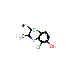 CC(CC(C)C)=Nc1c(Cl)ccc(O)c1Cl